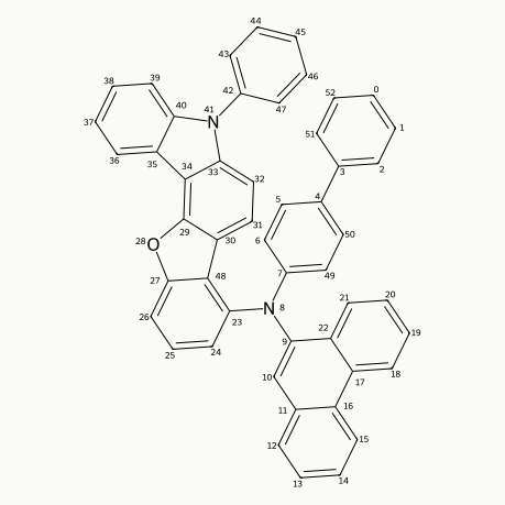 c1ccc(-c2ccc(N(c3cc4ccccc4c4ccccc34)c3cccc4oc5c(ccc6c5c5ccccc5n6-c5ccccc5)c34)cc2)cc1